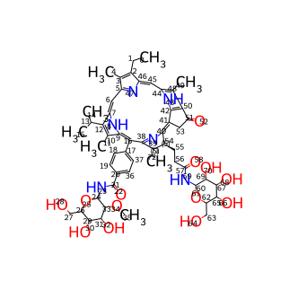 CCC1=C(C)c2cc3[nH]c(c(C)c3C(C)C)c(-c3ccc(C(=O)NC4OC(CO)C(O)C(O)C4OC)cc3)c3nc(c4c5[nH]c(cc1n2)c(C)c5C(=O)C4)[C@@H](CCC(=O)NC1OC(CO)C(O)C(O)C1O)[C@@H]3C